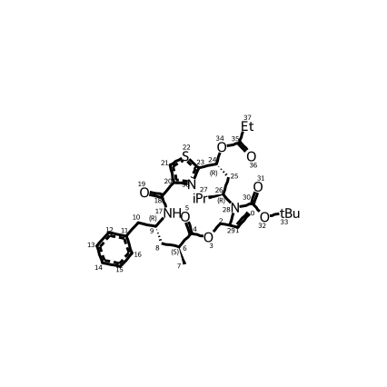 C=CCOC(=O)[C@@H](C)C[C@H](Cc1ccccc1)NC(=O)c1csc([C@@H](C[C@H](C(C)C)N(C)C(=O)OC(C)(C)C)OC(=O)CC)n1